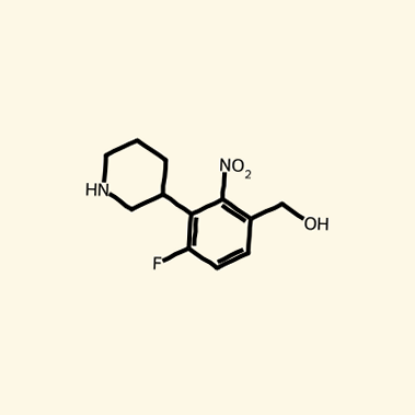 O=[N+]([O-])c1c(CO)ccc(F)c1C1CCCNC1